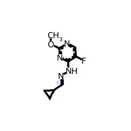 COc1ncc(F)c(N/N=C/C2CC2)n1